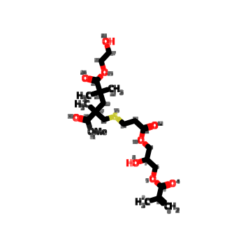 C=C(C)C(=O)OCC(O)COC(=O)CCSCC(C)(CC(C)(C)C(=O)OCCO)C(=O)OC